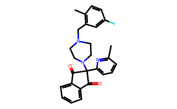 Cc1cccc(C2(N3CCN(Cc4cc(F)ccc4C)CC3)C(=O)c3ccccc3C2=O)n1